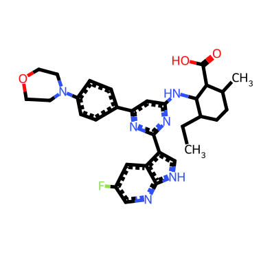 CCC1CCC(C)C(C(=O)O)C1Nc1cc(-c2ccc(N3CCOCC3)cc2)nc(-c2c[nH]c3ncc(F)cc23)n1